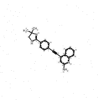 CC1(C)CNC(c2ccc(C#Cc3cc(N)nc4ccccc34)cc2)=N1